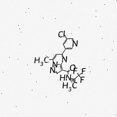 Cc1cc(-c2cncc(Cl)c2)nc2c(C(=O)N[C@H](C)C(F)(F)F)cnn12